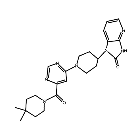 CC1(C)CCN(C(=O)c2cc(N3CCC(n4c(=O)[nH]c5ncccc54)CC3)ncn2)CC1